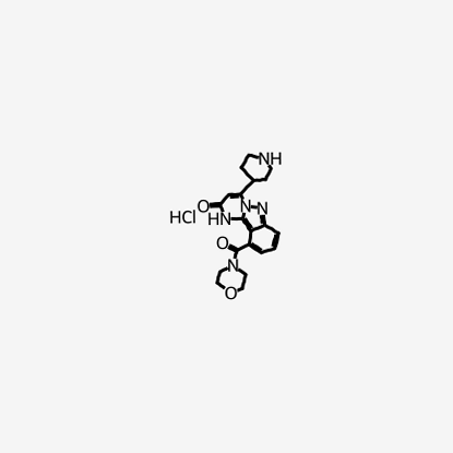 Cl.O=C(c1cccc2nn3c(C4CCNCC4)cc(=O)[nH]c3c12)N1CCOCC1